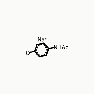 CC(=O)Nc1ccc([O-])cc1.[Na+]